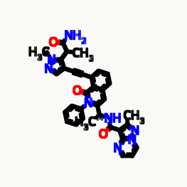 Cc1nn2cccnc2c1C(=O)N[C@@H](C)c1cc2cccc(C#Cc3cnn(C)c3C(C)C(N)=O)c2c(=O)n1-c1ccccc1